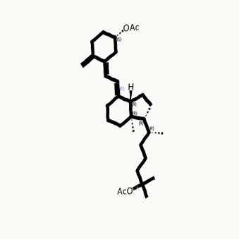 C=C1CC[C@H](OC(C)=O)CC1=C/C=C1\CCC[C@]2(C)[C@@H]([C@H](C)CCCC(C)(C)OC(C)=O)CC[C@@H]12